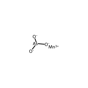 [Mn+3].[O-][As]([O-])[O-]